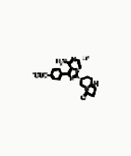 Nc1nccn2c([C@@H]3CC[C@H]4CCC(=O)N4C3)nc(-c3ccc(C(=O)[O-])cc3)c12.[Li+]